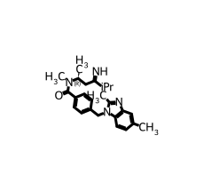 Cc1ccc2c(c1)nc(C)n2Cc1ccc(C(=O)N(C)[C@H](C)CC(=N)C(C)C)cc1